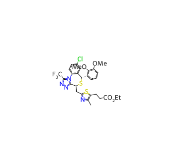 CCOC(=O)CCc1sc(C[C@@H]2S[C@@H](c3cccc(OC)c3OC)c3cc(Cl)ccc3-n3c2nnc3C(F)(F)F)nc1C